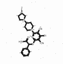 CCc1c(C#N)c(SC(C(N)=O)c2ccccc2)nc(N2CCC(N3CC[C@@H](F)C3)CC2)c1C#N